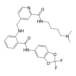 CN(C)CCCCNC(=O)c1cc(CNc2ccccc2C(=O)Nc2ccc3c(c2)OC(F)(F)O3)ccn1